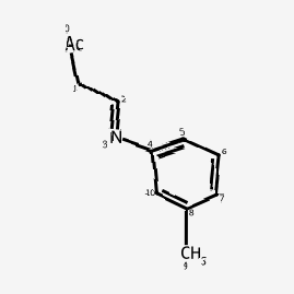 CC(=O)CC=Nc1cccc(C)c1